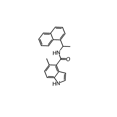 Cc1ccc2[nH]ccc2c1C(=O)NC(C)c1cccc2ccccc12